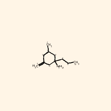 C=C1CC(C)CC(N)(CCC)C1